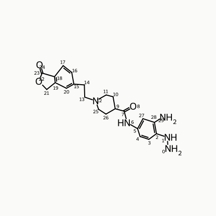 NNc1ccc(NC(=O)C2CCN(CCc3ccc4c(c3)COC4=O)CC2)cc1N